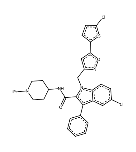 CC(C)N1CCC(NC(=O)c2c(-c3ccccc3)c3cc(Cl)ccc3n2Cc2cc(-c3ccc(Cl)s3)on2)CC1